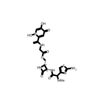 C=C(NCC(=O)OC[C@H]1NC(=O)[C@H]1NC(=O)C(NC)c1csc(N)n1)c1cc(=O)c(O)cn1O